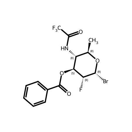 C[C@H]1O[C@H](Br)[C@H](F)[C@@H](OC(=O)c2ccccc2)[C@@H]1NC(=O)C(F)(F)F